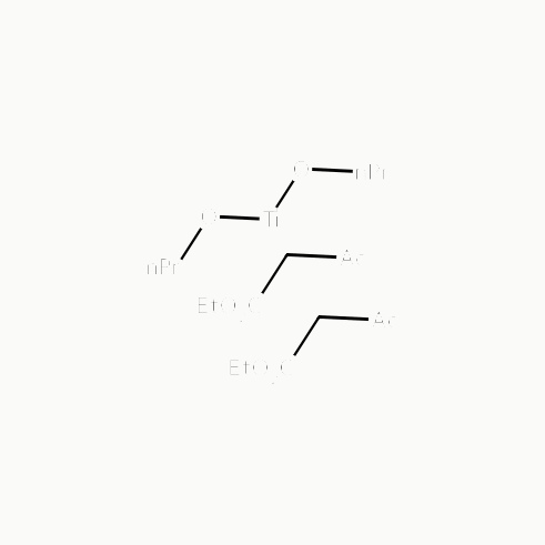 CCC[O][Ti][O]CCC.CCOC(=O)CC(C)=O.CCOC(=O)CC(C)=O